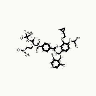 CN(C)CCN(C(=O)OC(C)(C)C)S(=O)(=O)c1ccc(C(=O)O[C@@H](Cc2c(Cl)cncc2Cl)c2ccc(OC(F)F)c(OCC3CC3)c2)cc1